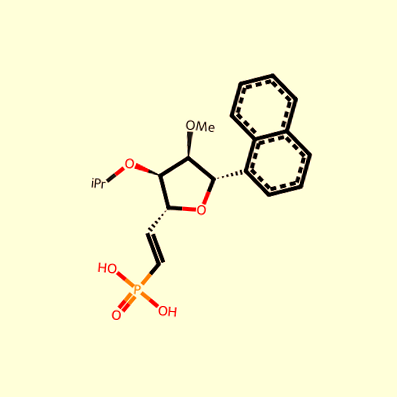 CO[C@@H]1[C@H](OC(C)C)[C@@H](/C=C/P(=O)(O)O)O[C@H]1c1cccc2ccccc12